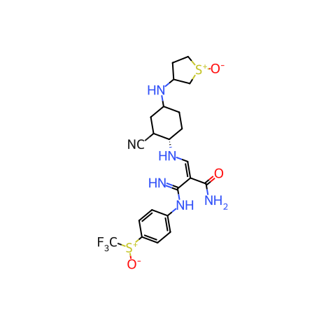 N#CC1CC(NC2CC[S+]([O-])C2)CC[C@@H]1N/C=C(\C(=N)Nc1ccc([S+]([O-])C(F)(F)F)cc1)C(N)=O